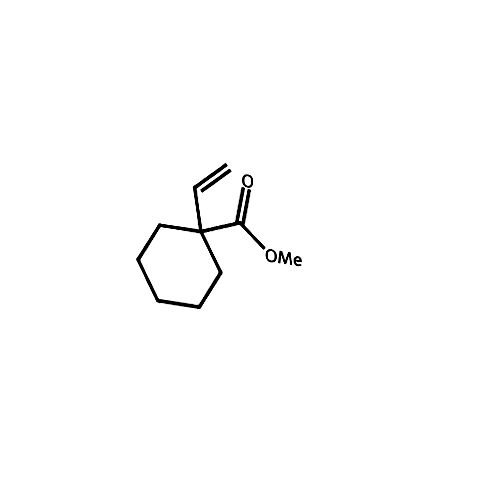 C=CC1(C(=O)OC)CCCCC1